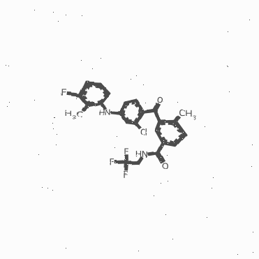 Cc1ccc(C(=O)NCC(F)(F)F)cc1C(=O)c1ccc(Nc2cccc(F)c2C)cc1Cl